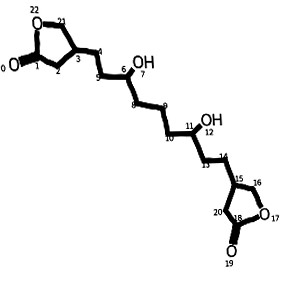 O=C1CC(CCC(O)CCCC(O)CCC2COC(=O)C2)CO1